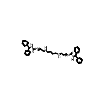 S=C(NCCCNCCCCNCCCNC(=S)NC(c1ccccc1)c1ccccc1)NC(c1ccccc1)c1ccccc1